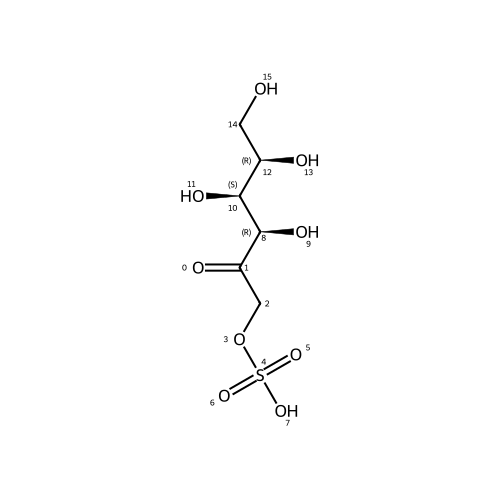 O=C(COS(=O)(=O)O)[C@H](O)[C@@H](O)[C@H](O)CO